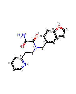 NC(=O)C(=O)N(CCc1ccccn1)Cc1ccc2occc2c1